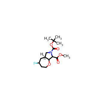 COC(=O)C1C2OCCC(F)C[C@H]2CN1C(=O)OC(C)(C)C